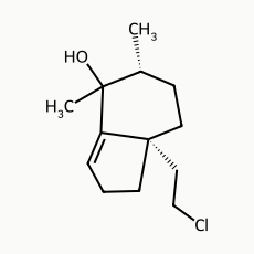 C[C@@H]1CC[C@@]2(CCCl)CCC=C2C1(C)O